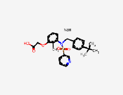 Cc1c(OCC(=O)O)cccc1N(Cc1ccc(C(C)(C)C)cc1)S(=O)(=O)c1cccnc1.[NaH]